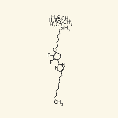 CCCCCCCCCc1cnc(-c2ccc(OCCCCCC[SiH2]C(C)(C)[Si](C)(C)C)c(F)c2F)nc1